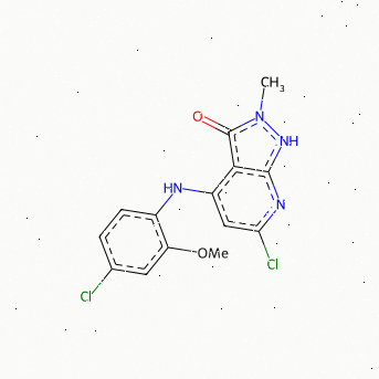 COc1cc(Cl)ccc1Nc1cc(Cl)nc2[nH]n(C)c(=O)c12